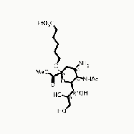 CCOC(=O)CCCCCO[C@]1(C(=O)OC)C[C@@H](N)[C@@H](NC(C)=O)C([C@H](O)[C@H](O)CO)O1